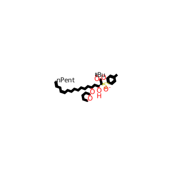 CCCCC/C=C\C/C=C\CCCCCCCC(CC(O)[C@@H](C(=O)OC(C)(C)C)[S+]([O-])c1ccc(C)cc1)OC1CCCCO1